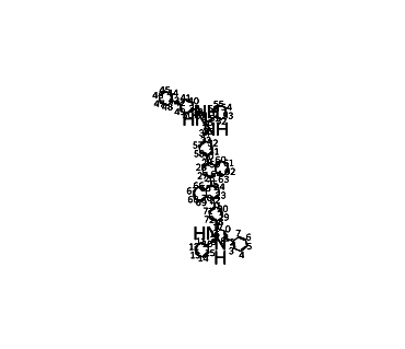 C1=C(c2ccccc2)NC(c2ccccc2)NC1c1ccc(-c2ccc(-c3ccc(-c4ccc(CNC(NNc5ccc(-c6ccccc6)cc5)c5ccccc5)cc4)c4ccccc34)c3ccccc23)cc1